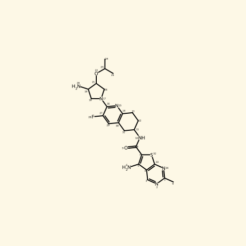 Cc1ncc2c(N)c(C(=O)NC3CCc4nc(N5CC(N)C(OC(C)C)C5)c(F)cc4C3)sc2n1